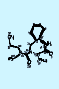 CC[C@H](C)[C@H]1C(=O)Nc2ccccc2CN1C(=O)N(CCO)C(C)C